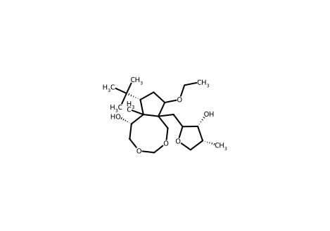 CCOC1C[C@@H](C(C)(C)C)C2(C)[C@@H](O)COCOCC12CC1OC[C@@H](C)[C@H]1O